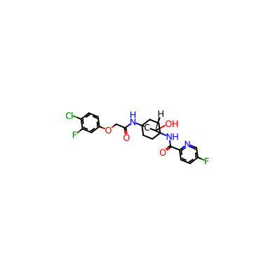 O=C(COc1ccc(Cl)c(F)c1)NC12CCC(NC(=O)c3ccc(F)cn3)(CC1)[C@@H](O)C2